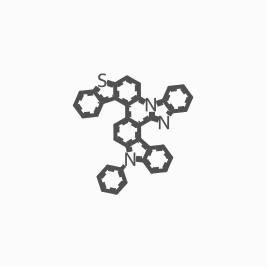 c1ccc(-n2c3ccccc3c3c4c(ccc32)c2c3c(ccc2n2c5ccccc5nc42)sc2ccccc23)cc1